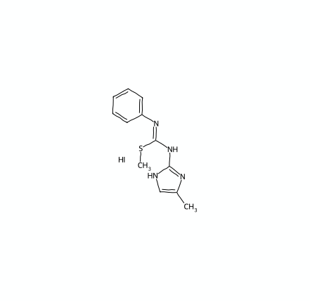 CSC(=Nc1ccccc1)Nc1nc(C)c[nH]1.I